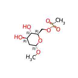 CO[C@@H]1C[C@@H](O)[C@H](O)[C@@H](COS(C)(=O)=O)O1